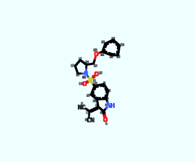 N#CC(C#N)=C1C(=O)Nc2ccc(S(=O)(=O)N3CCCC3COc3ccccc3)cc21